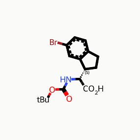 CC(C)(C)OC(=O)NC(C(=O)O)[C@H]1CCc2ccc(Br)cc21